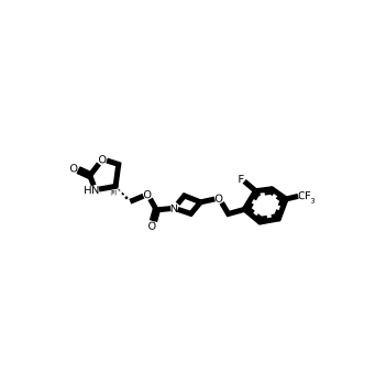 O=C1N[C@@H](COC(=O)N2CC(OCc3ccc(C(F)(F)F)cc3F)C2)CO1